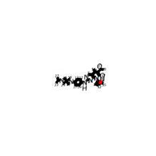 CC(=O)c1c(C)c2cnc(Nc3ccc(N4CC5(C4)CN(C(C)C)C5)cc3)nc2n(C23CC(C2)[C@H]3C)c1=O